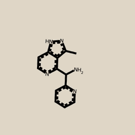 Cc1n[nH]c2ccnc(C(N)c3ccccn3)c12